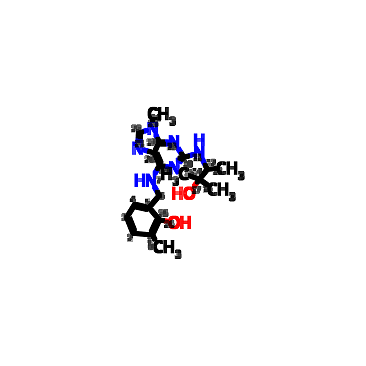 Cc1cccc(CNc2nc(NC(C)C(C)(C)O)nc3c2ncn3C)c1O